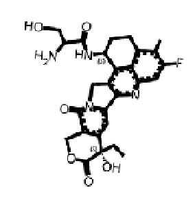 CC[C@@]1(O)C(=O)OCc2c1cc1n(c2=O)Cc2c-1nc1cc(F)c(C)c3c1c2[C@@H](NC(=O)C(N)CO)CC3